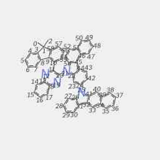 CC1(C)c2ccccc2-c2c(-c3nc4ccccc4nc3-n3c4cc(-n5c6ccccc6c6cc7ccccc7cc65)ccc4c4c5ccccc5ccc43)cccc21